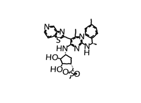 Cc1ccc([C@@H](C)Nc2nc(C)c(-c3nc4cnccc4s3)c(N[C@@H]3C[C@H](CS(C)(=O)=O)[C@@H](O)[C@H]3O)n2)cc1